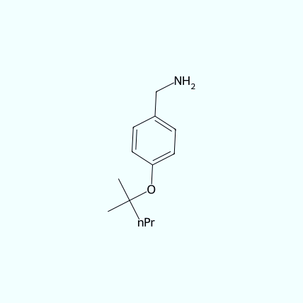 CCCC(C)(C)Oc1ccc(CN)cc1